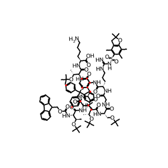 Cc1c(C)c(S(=O)(=O)NC(=N)NCCC[C@H](NC(=O)CNC(=O)[C@H](COC(C)(C)C)NC(=O)[C@@H](NC(=O)[C@H](Cc2ccccc2)NC(=O)[C@@H](NC(=O)[C@@H](NC(=O)OCC2c3ccccc3-c3ccccc32)[C@@H](C)OC(C)(C)C)C(C)C)[C@@H](C)OC(C)(C)C)C(=O)N[C@@H](CSC(c2ccccc2)(c2ccccc2)c2ccccc2)C(=O)N[C@H](C(=O)N[C@@H](CCCCN)C(=O)O)[C@@H](C)OC(C)(C)C)c(C)c2c1OC(C)(C)C2